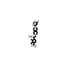 Cc1c([C@@H](O)CN2CCC3(CC2)CCN(c2cc(F)ncn2)CC3)ccc2c1COC2=O